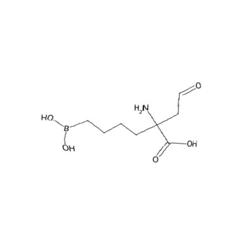 NC(CC=O)(CCCCB(O)O)C(=O)O